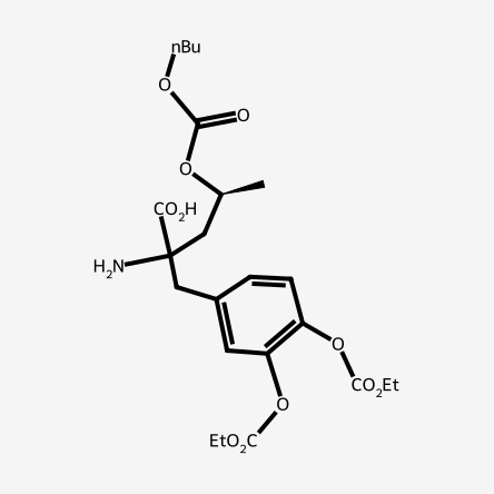 CCCCOC(=O)O[C@@H](C)CC(N)(Cc1ccc(OC(=O)OCC)c(OC(=O)OCC)c1)C(=O)O